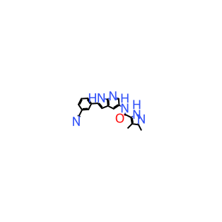 Cc1n[nH]c(C(=O)Nc2cnc3[nH]c(-c4cccc(C#N)c4)cc3c2)c1C